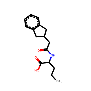 CCCC(NC(=O)CC1Cc2ccccc2C1)C(=O)O